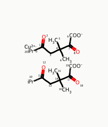 CC(C)C(=O)CC(C)(C)C(=O)C(=O)[O-].CC(C)C(=O)CC(C)(C)C(=O)C(=O)[O-].[Cu+2]